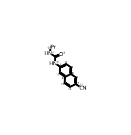 CC(C)NC(=O)Nc1ccc2cc(C#N)ccc2c1